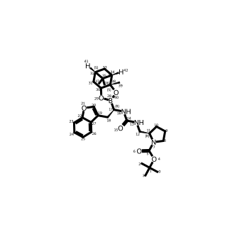 CC(C)(C)OC(=O)N1CCC[C@@H]1CNC(=O)N[C@@H](Cc1coc2ccccc12)B1OC2C[C@@H]3C[C@@H](C3(C)C)[C@]2(C)O1